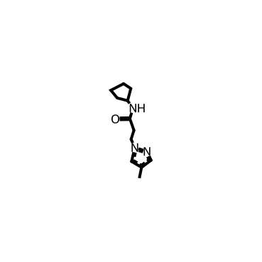 Cc1cnn(CCC(=O)NC2CCCC2)c1